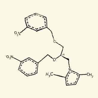 Cc1ccc(C)n1C[C@H](COCc1cccc([N+](=O)[O-])c1)OCc1cccc([N+](=O)[O-])c1